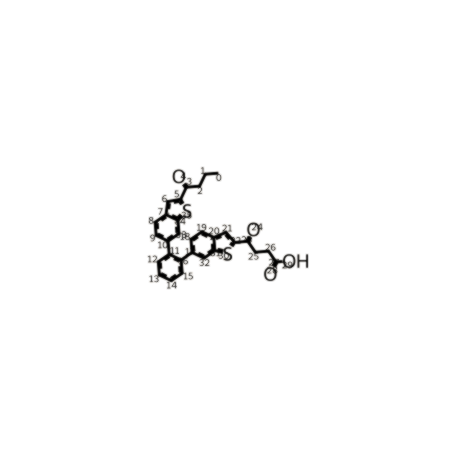 CCCC(=O)c1cc2ccc(-c3ccccc3-c3ccc4cc(C(=O)CCC(=O)O)sc4c3)cc2s1